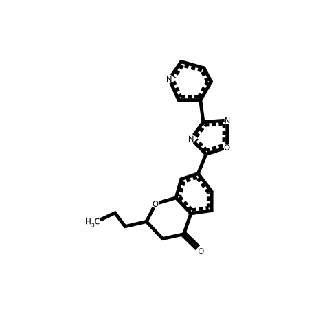 CCCC1CC(=O)c2ccc(-c3nc(-c4cccnc4)no3)cc2O1